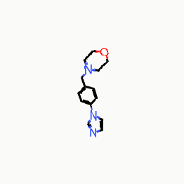 c1cn(-c2ccc(CN3CCOCC3)cc2)cn1